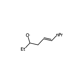 CCCC=CCC([O])CC